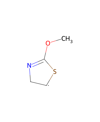 COC1=NC[CH]S1